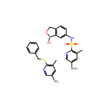 CC(=O)Nc1cnc(S(=O)(=O)Nc2ccc3c(c2)B(O)OC3)c(C)c1.Cc1cc([N+](=O)[O-])cnc1SCc1ccccc1